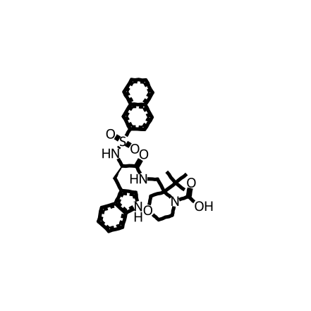 CC(C)(C)C1(CNC(=O)[C@@H](Cc2c[nH]c3ccccc23)NS(=O)(=O)c2ccc3ccccc3c2)COCCN1C(=O)O